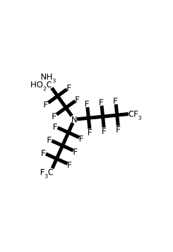 N.O=C(O)C(F)(F)C(F)(F)N(C(F)(F)C(F)(F)C(F)(F)C(F)(F)F)C(F)(F)C(F)(F)C(F)(F)C(F)(F)F